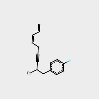 C=C/C=C\CC#CC(CC)Cc1ccc(F)cc1